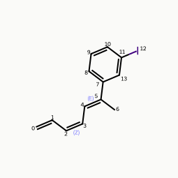 C=C/C=C\C=C(/C)c1cccc(I)c1